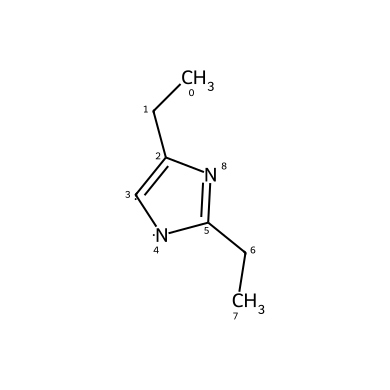 CCC1=[C][N]C(CC)=N1